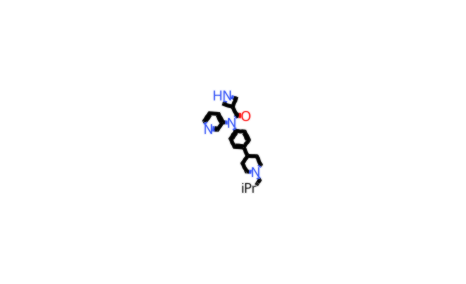 CC(C)CN1CCC(c2ccc(N(C(=O)C3CNC3)c3cccnc3)cc2)CC1